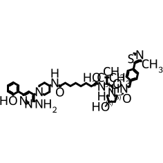 Cc1ncsc1-c1ccc(CNC(=O)[C@@H]2C[C@@H](O)CN2C(=O)[C@@H](NC(=O)CCCCCCC(=O)NC2CCN(c3cc(-c4ccccc4O)nnc3N)CC2)C(C)(C)C)cc1